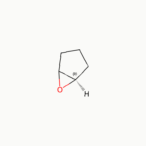 C1CC2O[C@@H]2C1